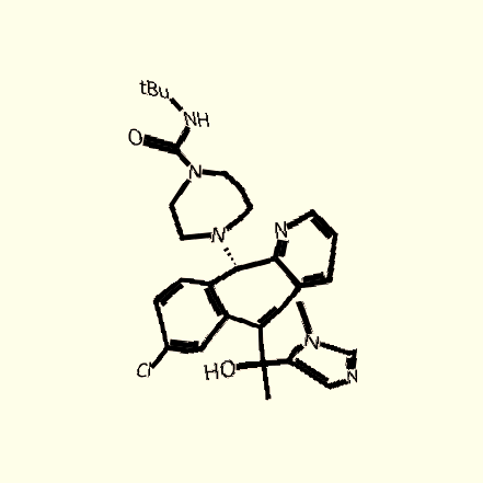 Cn1cncc1C(C)(O)C1=Cc2cccnc2[C@@H](N2CCN(C(=O)NC(C)(C)C)CC2)c2ccc(Cl)cc21